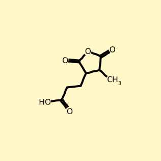 CC1C(=O)OC(=O)C1CCC(=O)O